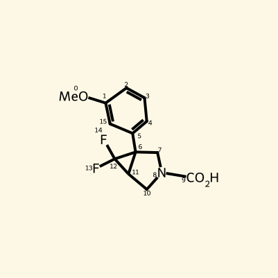 COc1cccc(C23CN(C(=O)O)CC2C3(F)F)c1